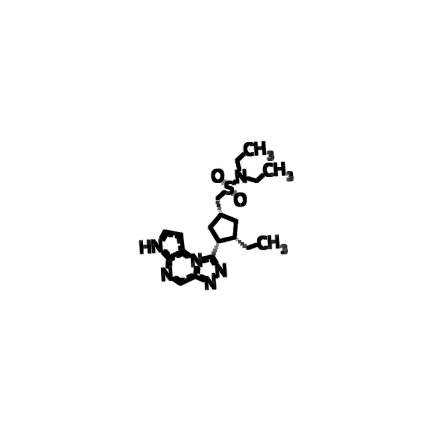 CC[C@H]1C[C@@H](CS(=O)(=O)N(CC)CC)C[C@H]1c1nnc2cnc3[nH]ccc3n12